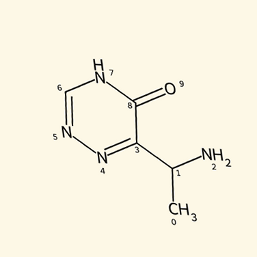 CC(N)c1nnc[nH]c1=O